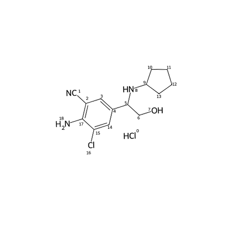 Cl.N#Cc1cc(C(CO)NC2CCCC2)cc(Cl)c1N